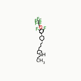 CCC[SiH]1CCC(CCCC[C@H]2CC[C@H](c3cc(F)c(OCC(F)(F)C(F)(F)F)c(F)c3)CC2)CC1